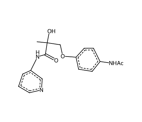 CC(=O)Nc1ccc(OCC(C)(O)C(=O)Nc2cccnc2)cc1